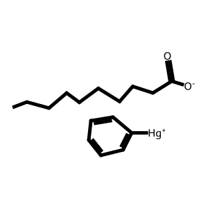 CCCCCCCCCC(=O)[O-].[Hg+][c]1ccccc1